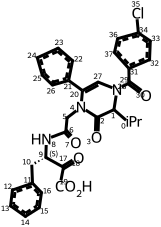 CC(C)C1C(=O)N(CC(=O)N[C@@H](Cc2ccccc2)C(=O)C(=O)O)C(c2ccccc2)=CN1C(=O)c1ccc(Cl)cc1